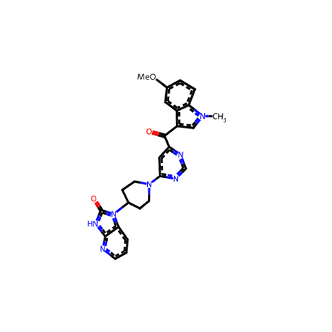 COc1ccc2c(c1)c(C(=O)c1cc(N3CCC(n4c(=O)[nH]c5ncccc54)CC3)ncn1)cn2C